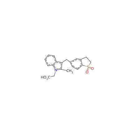 Cc1c(Cc2ccc3c(c2)CCS3(=O)=O)c2ccccc2n1CC(=O)O